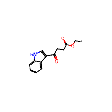 CCOC(=O)CCC(=O)c1c[nH]c2ccccc12